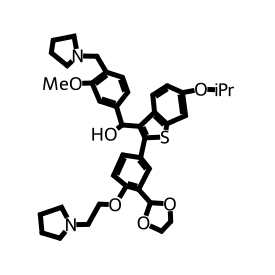 COc1cc(C(O)c2c(-c3ccc(OCCN4CCCC4)c(C4OCCO4)c3)sc3cc(OC(C)C)ccc23)ccc1CN1CCCC1